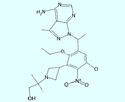 CCOc1c(C(C)n2nc(C)c3c(N)ncnc32)cc(Cl)c([N+](=O)[O-])c1C1CN(C(C)(C)CO)C1